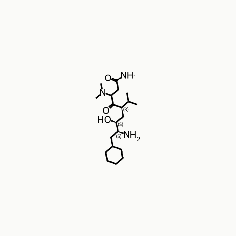 CC(C)[C@@H](C[C@H](O)[C@@H](N)CC1CCCCC1)C(=O)C(CC([NH])=O)N(C)C